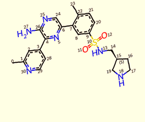 Cc1cc(-c2nc(-c3cc(S(=O)(=O)NC[C@H]4CCNC4)ccc3C)cnc2N)ccn1